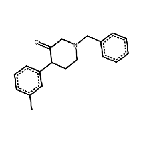 Cc1cccc(C2CCN(Cc3ccccc3)CC2=O)c1